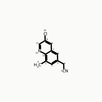 Cc1cc(CC#N)cc2cc(Cl)cnc12